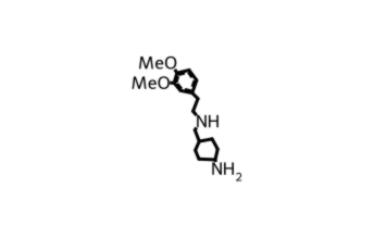 COc1ccc(CCNCC2CCC(N)CC2)cc1OC